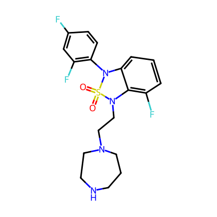 O=S1(=O)N(CCN2CCCNCC2)c2c(F)cccc2N1c1ccc(F)cc1F